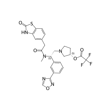 CN(C(=O)Cc1ccc2sc(=O)[nH]c2c1)[C@H](CN1CC[C@H](OC(=O)C(F)(F)F)C1)c1cccc(-c2ncon2)c1